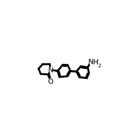 Nc1cccc(-c2ccc(N3CCCCC3=O)cc2)c1